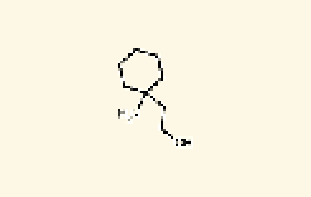 NC1(CCO)CCCCC1